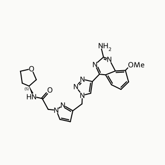 COc1cccc2c(-c3cn(Cc4ccn(CC(=O)N[C@H]5CCOC5)n4)nn3)nc(N)nc12